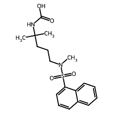 CN(CCCC(C)(C)NC(=O)O)S(=O)(=O)c1cccc2ccccc12